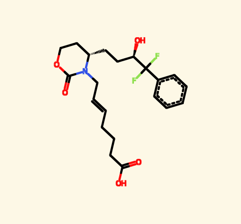 O=C(O)CCCC=CCN1C(=O)OCC[C@@H]1CC[C@@H](O)C(F)(F)c1ccccc1